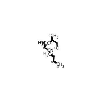 C=C(C)CCl.C=CC#N.C=CC=C